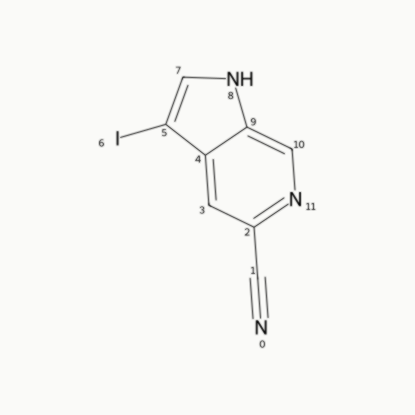 N#Cc1cc2c(I)c[nH]c2cn1